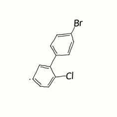 Clc1cc[c]cc1-c1ccc(Br)cc1